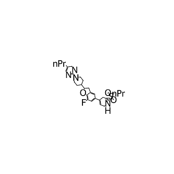 CCCc1cnc(N2CCC(C3Cc4cc(C5=CCN[C@@H](S(=O)(=O)CCC)C5)cc(F)c4O3)CC2)nc1